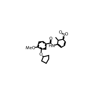 COc1ccc(C(=O)NC2=CC=CC(=S(=O)=O)C2C)cc1OC1CCCC1